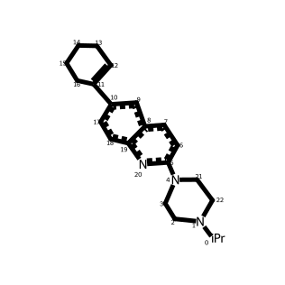 CC(C)N1CCN(c2ccc3cc(C4=CCCCC4)ccc3n2)CC1